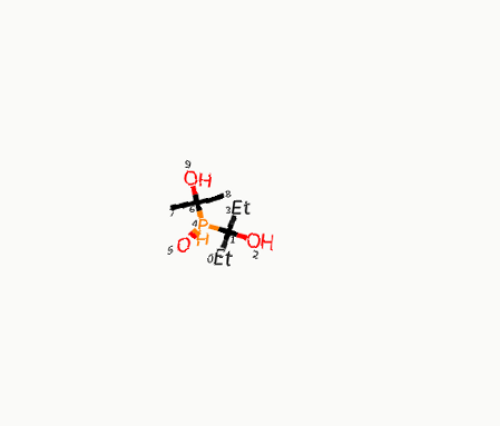 CCC(O)(CC)[PH](=O)C(C)(C)O